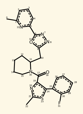 Cc1cccc(-c2nnc(CC3CCCCN3C(=O)c3nc(C)sc3-c3ccccc3F)o2)n1